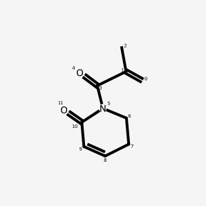 C=C(C)C(=O)N1CCC=CC1=O